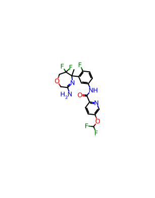 CC1(c2cc(NC(=O)c3ccc(OC(F)F)cn3)ccc2F)N=C(N)COCC1(F)F